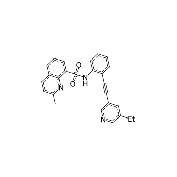 CCc1cncc(C#Cc2ccccc2NS(=O)(=O)c2cccc3ccc(C)nc23)c1